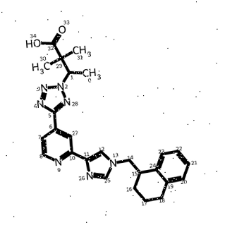 CC(n1nnc(-c2ccnc(-c3cn(CC4CCCc5ccccc54)cn3)c2)n1)C(C)(C)C(=O)O